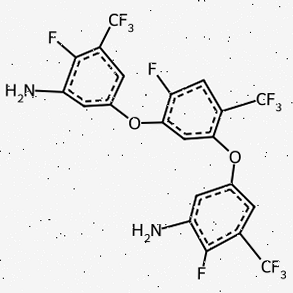 Nc1cc(Oc2cc(Oc3cc(N)c(F)c(C(F)(F)F)c3)c(C(F)(F)F)cc2F)cc(C(F)(F)F)c1F